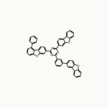 c1ccc(-c2cccc3oc4cc(-c5nc(-c6cccc(-c7ccc8oc9ccccc9c8c7)c6)nc(-c6ccc7c(c6)oc6ccccc67)n5)ccc4c23)cc1